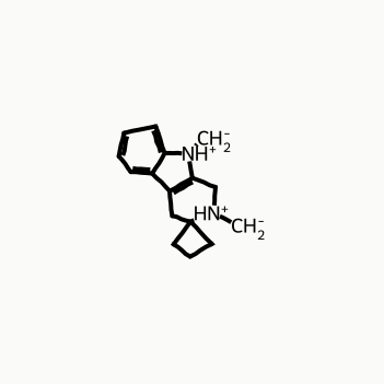 [CH2-][NH+]1C2=C(CC3(CCC3)[NH+]([CH2-])C2)c2ccccc21